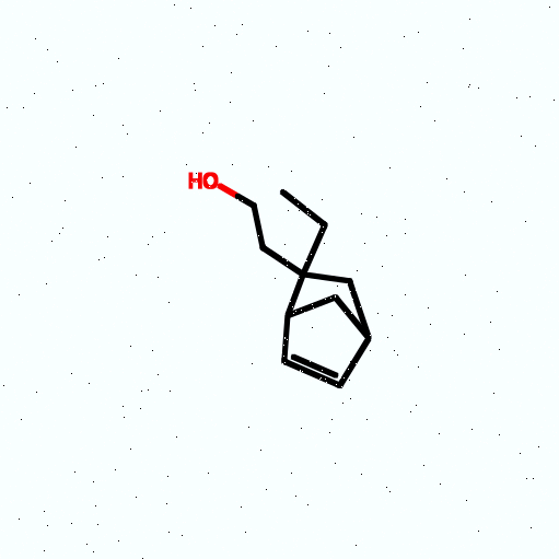 CCC1(CCO)CC2C=CC1C2